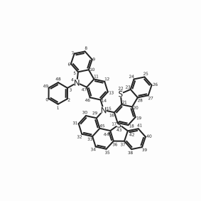 c1ccc(-n2c3ccccc3c3ccc(N(c4cccc5c4sc4ccccc45)c4cccc5ccc6c7ccccc7sc6c45)cc32)cc1